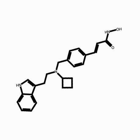 O=C(/C=C/c1ccc(CN(CCc2c[nH]c3ccccc23)C2CCC2)cc1)NO